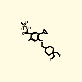 CS(=O)(=O)NC(=O)c1cc(C2CC2)c(OCC2CCC(CF)(CF)CC2)cc1F